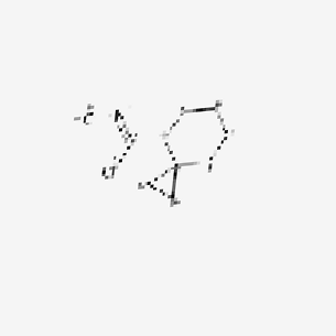 ON=C(Cl)C1CCCCC12CC2